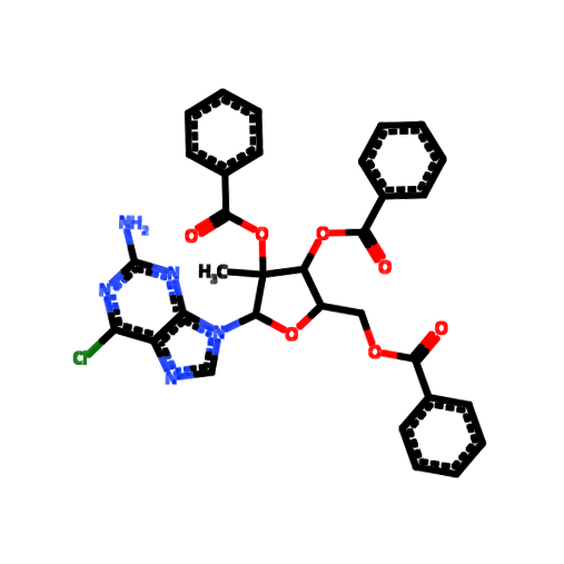 CC1(OC(=O)c2ccccc2)C(OC(=O)c2ccccc2)C(COC(=O)c2ccccc2)OC1n1cnc2c(Cl)nc(N)nc21